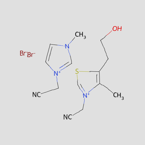 Cc1c(CCO)sc[n+]1CC#N.Cn1cc[n+](CC#N)c1.[Br-].[Br-]